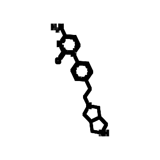 Nc1ccn(-c2ccc(CCN3CC4CNCC4C3)cc2)c(=O)n1